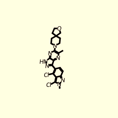 Cc1nc2c(-c3ccc4nn(C)c(Cl)c4c3Cl)n[nH]c2nc1N1CCC2(CCOC2)CC1